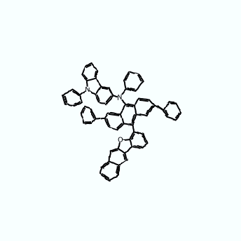 c1ccc(-c2ccc3c(N(c4ccccc4)c4ccc5c(c4)c4ccccc4n5-c4ccccc4)c4cc(-c5ccccc5)ccc4c(-c4cccc5c4oc4cc6ccccc6cc45)c3c2)cc1